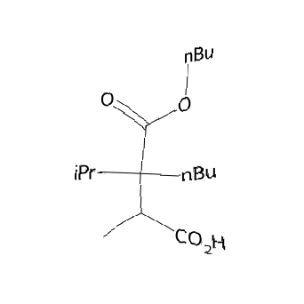 CCCCOC(=O)C(CCCC)(C(C)C)C(C)C(=O)O